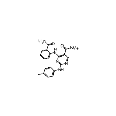 CNC(=O)c1cnc(Nc2ccc(C)cc2)nc1Nc1ccccc1C(N)=O